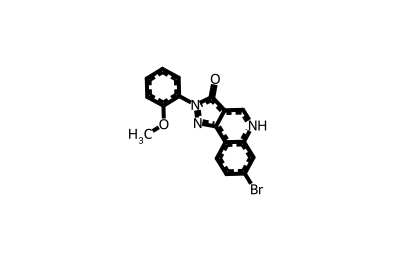 COc1ccccc1-n1nc2c3ccc(Br)cc3[nH]cc-2c1=O